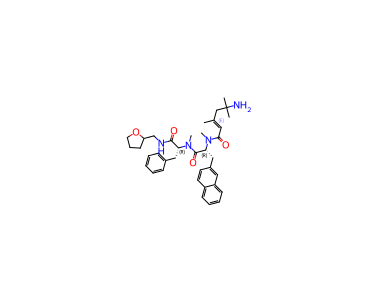 C/C(=C\C(=O)N(C)[C@H](Cc1ccc2ccccc2c1)C(=O)N(C)[C@H](Cc1ccccc1)C(=O)NCC1CCCO1)CC(C)(C)N